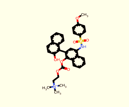 COc1ccc(S(=O)(=O)Nc2cc(-c3c(O)ccc4ccccc34)c(OC(=O)OCC[N+](C)(C)C)c3ccccc23)cc1